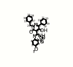 COc1ccc2c(c1)S(=O)(=O)NC(c1c(O)c(-c3ccccc3)nn(Cc3ccccc3)c1=O)=N2